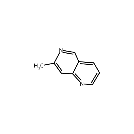 Cc1cc2ncccc2cn1